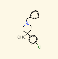 O=[C]C1(c2ccc(Cl)cc2)CCN(Cc2ccccc2)CC1